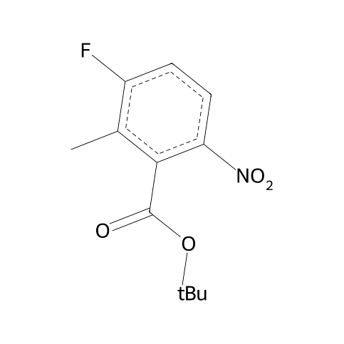 Cc1c(F)ccc([N+](=O)[O-])c1C(=O)OC(C)(C)C